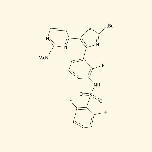 CNc1nccc(-c2sc(C(C)(C)C)nc2-c2cccc(NS(=O)(=O)c3c(F)cccc3F)c2F)n1